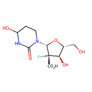 O=C1NC(O)CCN1[C@@H]1O[C@H](CO)[C@@H](O)[C@@]1(F)C(=O)O